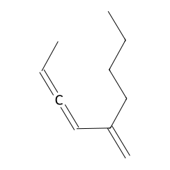 C=C(C=C=CC)CCCC